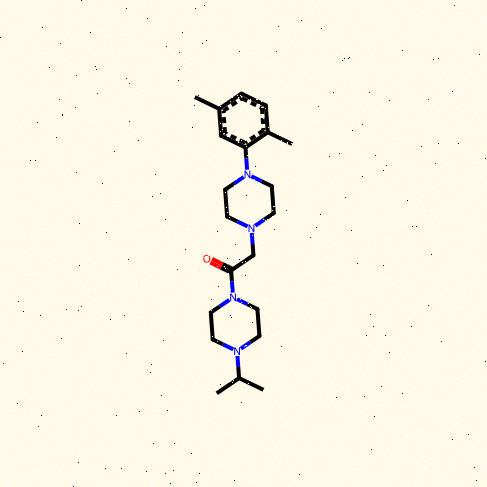 Cc1ccc(C)c(N2CCN(CC(=O)N3CCN(C(C)C)CC3)CC2)c1